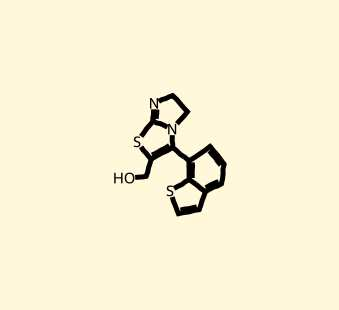 OCC1=C(c2cccc3ccsc23)N2CCN=C2S1